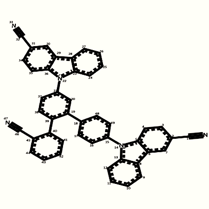 N#Cc1ccc2c(c1)c1ccccc1n2-c1ccc(-c2cc(-n3c4ccccc4c4cc(C#N)ccc43)ccc2-c2ccccc2C#N)cc1